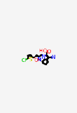 N#Cc1c(C(=O)O)n(Cc2cc(-c3ccc(Cl)s3)on2)c2ccccc12